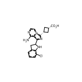 Nc1nccn2c1c(C1Cc3cccc(Cl)c3N1)nc2[C@H]1C[C@@H](C(=O)O)C1